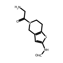 NCC(=O)N1CCc2sc(NC=O)cc2C1